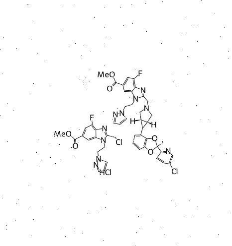 COC(=O)c1cc(F)c2nc(CCl)n(CCn3cccn3)c2c1.COC(=O)c1cc(F)c2nc(CN3C[C@@H]4C(c5cccc6c5OC(C)(c5ccc(Cl)cn5)O6)[C@@H]4C3)n(CCn3cccn3)c2c1.Cl